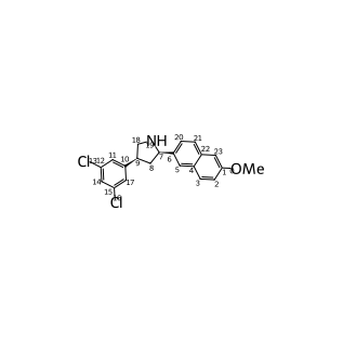 COc1ccc2cc([C@H]3C[C@@H](c4cc(Cl)cc(Cl)c4)CN3)ccc2c1